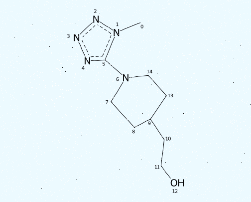 Cn1nnnc1N1CCC(CCO)CC1